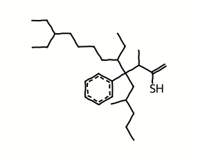 C=C(S)C(C)C(CC(C)CCC)(c1ccccc1)C(CC)CCCCC(CC)CC